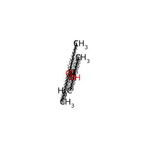 CCCCCCCCCCCCCCCCCC(=O)OC(CCCCCCCCCCCCCCCC)C(=O)O.CCCCCCCCCCCCOCCCCCCCC